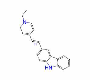 CCN1C=CC(/C=C/c2ccc3[nH]c4ccccc4c3c2)=CC1